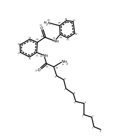 CCCCCCCCCCC(N)C(=O)Nc1ccccc1C(=O)Nc1ccccc1N